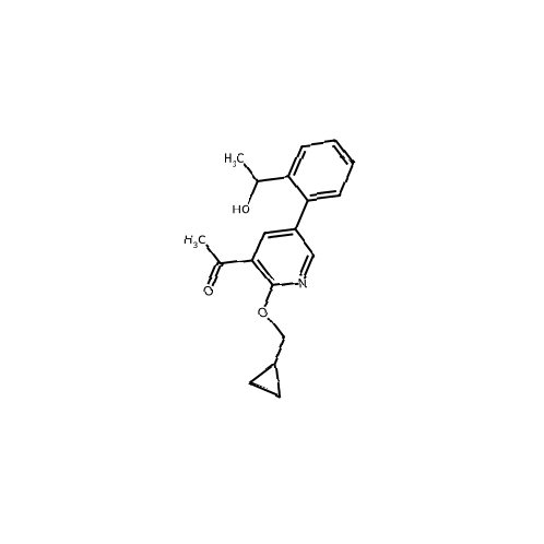 CC(=O)c1cc(-c2ccccc2C(C)O)cnc1OCC1CC1